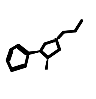 CCCN1C[C@H](c2ccccc2)[C@@H](C)C1